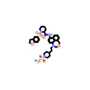 CS(=O)(=O)N1CCC(CCN2COCc3cccc4c(NC(=O)C5CCCCN5S(=O)(=O)c5ccc6c(c5)CCO6)ccc2c34)CC1